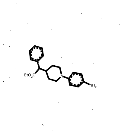 CCOC(=O)C(c1ccccc1)C1CCN(c2ccc(N)cc2)CC1